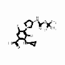 CC(C)(C)OC(=O)N[C@H]1CCN(c2c(F)cc(C(=O)O)c(NC3CC3)c2Cl)C1